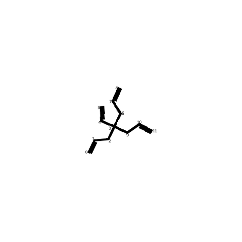 C=CCC(C=C)(CC=C)CC=C